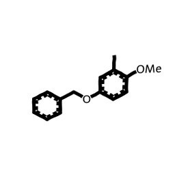 COc1ccc(OCc2ccccc2)cc1C